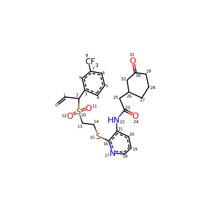 C=CC(c1cccc(C(F)(F)F)c1)S(=O)(=O)CCSc1ncccc1NC(=O)CC1CCCC(=O)C1